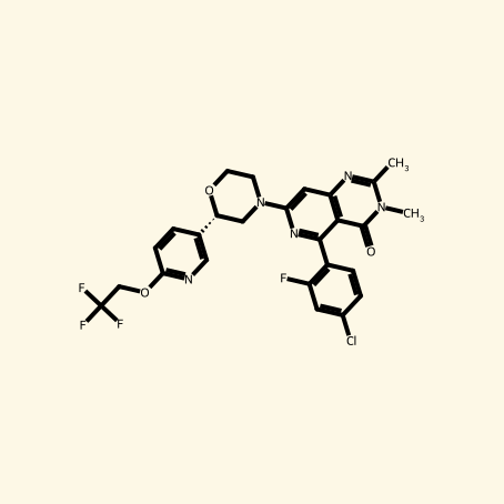 Cc1nc2cc(N3CCO[C@@H](c4ccc(OCC(F)(F)F)nc4)C3)nc(-c3ccc(Cl)cc3F)c2c(=O)n1C